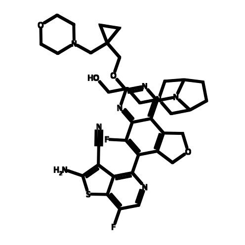 N#Cc1c(N)sc2c(F)cnc(-c3c4c(c5c(N6C7CCC6CN(CCCO)C7)nc(OCC6(CN7CCOCC7)CC6)nc5c3F)COC4)c12